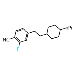 CCCC1CCC(CCc2ccc(C#N)c(F)c2)CC1